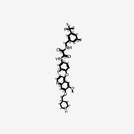 COc1cc2c(Oc3ccc(NC(=O)C(=O)NCc4cc(F)cc(C(F)(F)F)c4)cc3F)ccnc2cc1OCC1CCNCC1